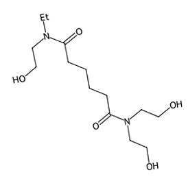 CCN(CCO)C(=O)CCCCC(=O)N(CCO)CCO